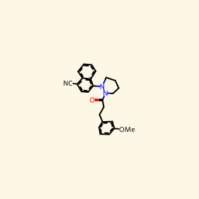 COc1cccc(CCC(=O)N2CCCCN2c2ccc(C#N)c3ccccc23)c1